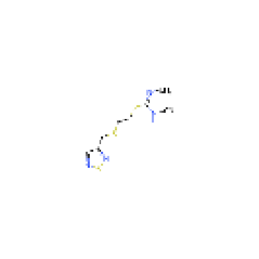 C/N=C(\NC#N)SCCSCc1cnsn1